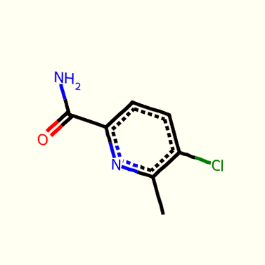 Cc1nc(C(N)=O)ccc1Cl